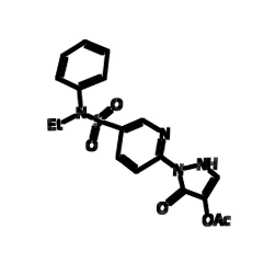 CCN(c1ccccc1)S(=O)(=O)c1ccc(-n2[nH]cc(OC(C)=O)c2=O)nc1